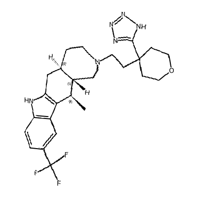 C[C@H]1c2c([nH]c3ccc(C(F)(F)F)cc23)C[C@H]2CCN(CCC3(c4nnn[nH]4)CCOCC3)C[C@@H]21